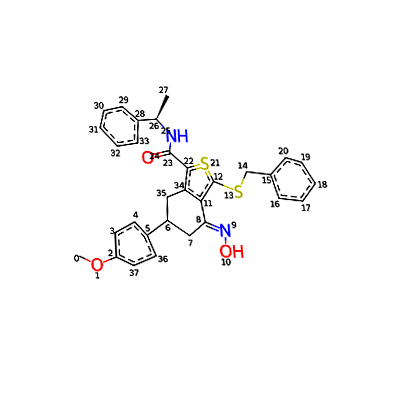 COc1ccc(C2C/C(=N\O)c3c(SCc4ccccc4)sc(C(=O)N[C@H](C)c4ccccc4)c3C2)cc1